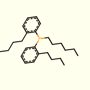 CCCCCCP(c1ccccc1CCCC)c1ccccc1CCCC